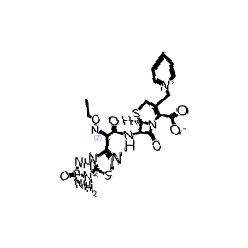 CCO/N=C(\C(=O)NC1C(=O)N2C(C(=O)[O-])=C(C[n+]3ccccc3)CS[C@H]12)c1nsc(NP(N)(N)=O)n1